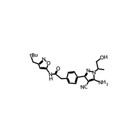 CC(CO)n1nc(-c2ccc(CC(=O)Nc3cc(CC(C)(C)C)no3)cc2)c(C#N)c1N